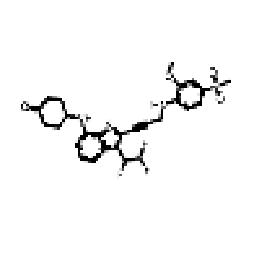 COc1cc(S(C)(=O)=O)ccc1NCC#Cc1sc2c(NC3CCC(=O)CC3)cccc2c1C(F)C(F)F